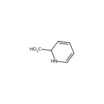 O=C(O)[C]1C=CC=CN1